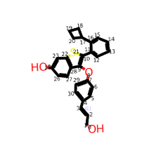 OC/C=C/c1ccc(Oc2c(-c3ccccc3C3CCC3)sc3cc(O)ccc23)cc1